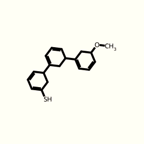 COC1C=CC=C(C2C=CC=C(C3C=CC=C(S)C3)C2)C1